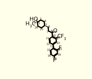 C[C@]1(O)CC[C@@H](CCC(=O)c2ccc(-c3ccc(F)cc3F)cc2C(F)(F)F)CC1